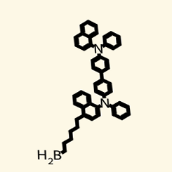 BCCCCCCc1ccc(N(c2ccccc2)c2ccc(-c3ccc(N(c4ccccc4)c4cccc5ccccc45)cc3)cc2)c2ccccc12